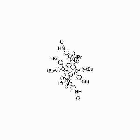 CC(C)C(C(=O)OC1CCC(NCC2CO2)CC1)N1C(=O)c2cc(Oc3ccc(C(C)(C)C)cc3)c3c4c(Oc5ccc(C(C)(C)C)cc5)cc5c6c(cc(Oc7ccc(C(C)(C)C)cc7)c(c7c(Oc8ccc(C(C)(C)C)cc8)cc(c2c37)C1=O)c64)C(=O)N(C(C(=O)OC1CCC(NCC2CO2)CC1)C(C)C)C5=O